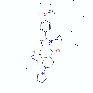 O=C(c1c(-c2c[nH]nn2)nc(-c2ccc(OC(F)(F)F)cc2)n1C1CC1)N1CCC(N2CCCC2)CC1